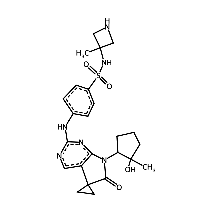 CC1(NS(=O)(=O)c2ccc(Nc3ncc4c(n3)N(C3CCCC3(C)O)C(=O)C43CC3)cc2)CNC1